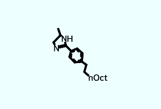 CCCCCCCCCCc1ccc(C2=NCC(C)N2)cc1